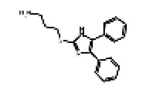 NCCCSc1nc(-c2ccccc2)c(-c2ccccc2)[nH]1